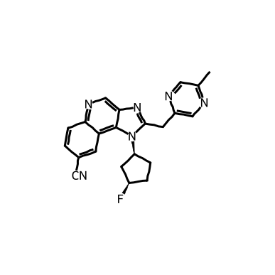 Cc1cnc(Cc2nc3cnc4ccc(C#N)cc4c3n2[C@H]2CC[C@@H](F)C2)cn1